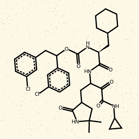 CC1(C)CC(CC(NC(=O)[C@H](CC2CCCCC2)NC(=O)OC(Cc2cccc(Cl)c2)c2cccc(Cl)c2)C(=O)C(=O)NC2CC2)C(=O)N1